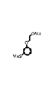 COCCOc1cccc(SC)c1